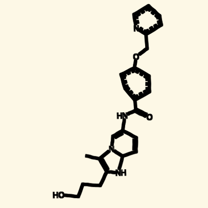 CC1=C(CCCO)NC2C=CC(NC(=O)c3ccc(OCc4ccccn4)cc3)=CN12